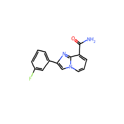 NC(=O)c1cccn2cc(-c3cccc(F)c3)nc12